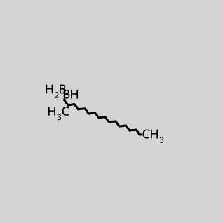 BBCC(C)CCCCCCCCCCCCCCC